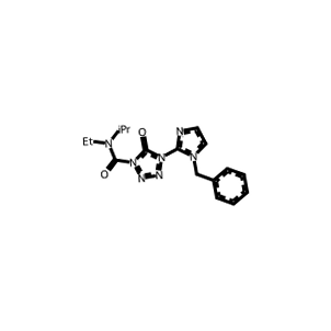 CCN(C(=O)n1nnn(-c2nccn2Cc2ccccc2)c1=O)C(C)C